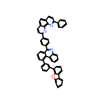 c1ccc(-c2ccc3ccc4ccc(-c5ccc(-c6nc7ccccc7c7c(-c8cccc(-c9cccc%10c9oc9ccccc9%10)c8)cccc67)cc5)nc4c3n2)cc1